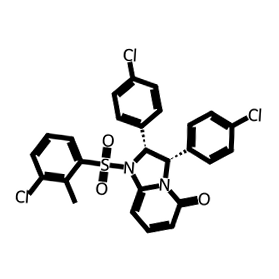 Cc1c(Cl)cccc1S(=O)(=O)N1c2cccc(=O)n2[C@@H](c2ccc(Cl)cc2)[C@H]1c1ccc(Cl)cc1